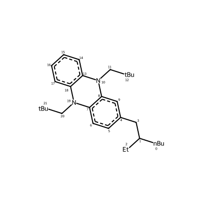 CCCCC(CC)Cc1ccc2c(c1)N(CC(C)(C)C)c1ccccc1N2CC(C)(C)C